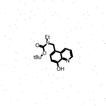 CCN(Cc1ccc(O)c2ncccc12)C(=O)OC(C)(C)C